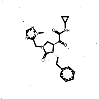 Cn1ncnc1CN1C[C@@H](C(=O)C(=O)NC2CC2)[C@H](CCc2ccccc2)C1=O